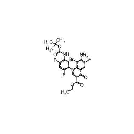 CCOC(=O)c1cn(-c2cc(NC(=O)OC(C)(C)C)c(F)cc2F)c2c(Br)c(N)c(F)cc2c1=O